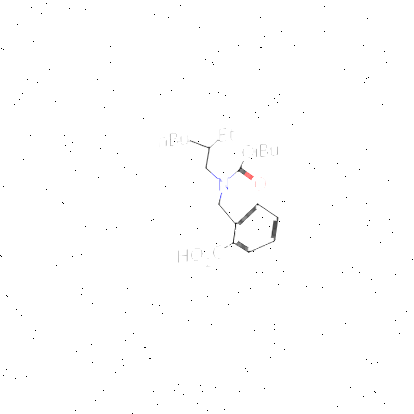 CCCCC(CC)CN(Cc1ccccc1C(=O)O)C(=O)OCC(C)C